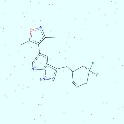 Cc1noc(C)c1-c1cnc2[nH]cc(CC3C=CCC(F)(F)C3)c2c1